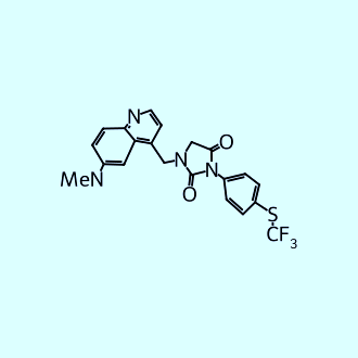 CNc1ccc2nccc(CN3CC(=O)N(c4ccc(SC(F)(F)F)cc4)C3=O)c2c1